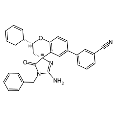 N#Cc1cccc(-c2ccc3c(c2)[C@@]2(C[C@H](C4C=CC=CC4)O3)N=C(N)N(Cc3ccccc3)C2=O)c1